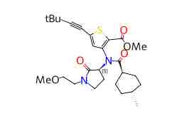 COCCN1CC[C@H](N(c2cc(C#CC(C)(C)C)sc2C(=O)OC)C(=O)[C@H]2CC[C@H](C)CC2)C1=O